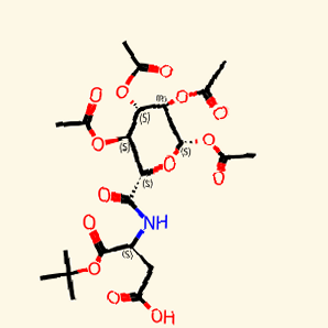 CC(=O)O[C@@H]1O[C@H](C(=O)N[C@@H](CC(=O)O)C(=O)OC(C)(C)C)[C@@H](OC(C)=O)[C@H](OC(C)=O)[C@H]1OC(C)=O